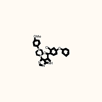 COc1ccc(N2CCN(c3ncnc4[nH]cc(C(=O)c5ccc(Oc6ccccc6)cc5Cl)c34)CC2)cc1